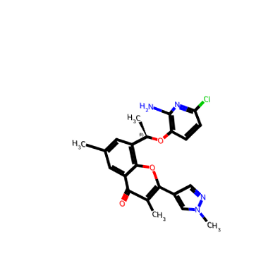 Cc1cc([C@@H](C)Oc2ccc(Cl)nc2N)c2oc(-c3cnn(C)c3)c(C)c(=O)c2c1